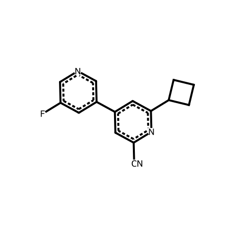 N#Cc1cc(-c2cncc(F)c2)cc(C2CCC2)n1